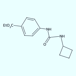 CCOC(=O)c1ccc(NC(=O)NC2CCC2)cc1